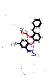 C/N=C/c1cc(C)ccc1Pc1cccc(CC2C=CC=CC2)c1OCOC